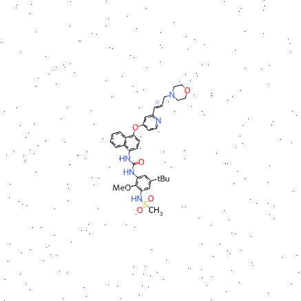 COc1c(NC(=O)Nc2ccc(Oc3ccnc(/C=C/CN4CCOCC4)c3)c3ccccc23)cc(C(C)(C)C)cc1NS(C)(=O)=O